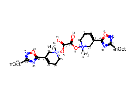 CCCCCCCCc1noc(C2=CCC[N+](C)(OC(=O)C(=O)O[N+]3(C)CCC=C(c4nc(CCCCCCCC)no4)C3)C2)n1